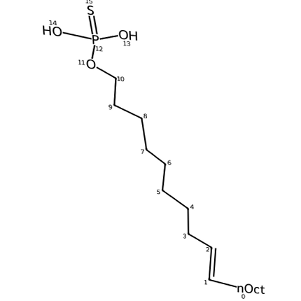 CCCCCCCCC=CCCCCCCCCOP(O)(O)=S